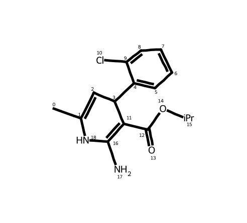 CC1=CC(c2ccccc2Cl)C(C(=O)OC(C)C)=C(N)N1